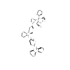 c1ccc2c(c1)Oc1ccc(-c3ccc4c(c3)c3ccccc3n4-c3ccc(-n4c5ccccc5c5ccccc54)cn3)cc1C21c2cccnc2-c2ncccc21